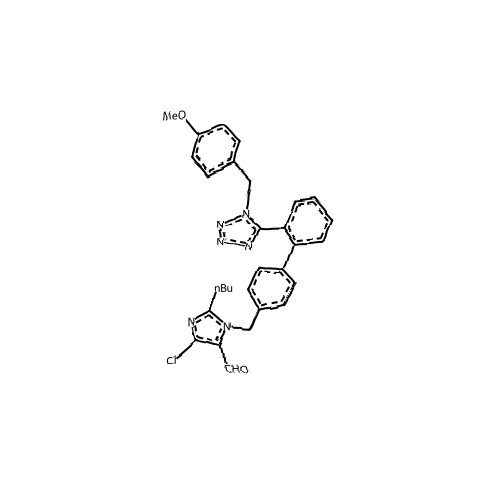 CCCCc1nc(Cl)c(C=O)n1Cc1ccc(-c2ccccc2-c2nnnn2Cc2ccc(OC)cc2)cc1